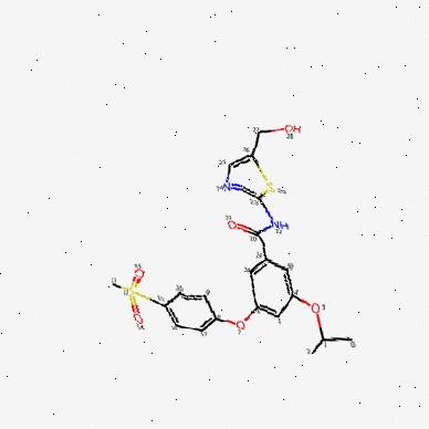 CC(C)Oc1cc(Oc2ccc(S(C)(=O)=O)cc2)cc(C(=O)Nc2ncc(CO)s2)c1